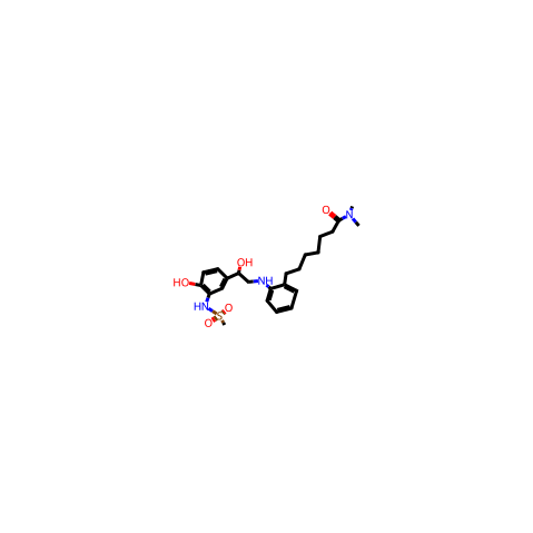 CN(C)C(=O)CCCCCCc1ccccc1NCC(O)c1ccc(O)c(NS(C)(=O)=O)c1